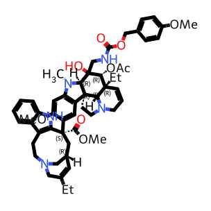 CCC1=C[C@@H]2CN(CCc3c([nH]c4ccccc34)[C@@](C(=O)OC)(c3cc4c(cc3OC)N(C)[C@H]3C(O)(CNC(=O)OCc5ccc(OC)cc5)[C@H](OC(C)=O)[C@]5(CC)C=CCN6CC[C@]43[C@@H]65)C2)C1